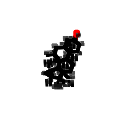 CC[C@]1(C#N)[C@H]2C[C@H]2[C@H]2[C@H]3[C@H](CC[C@@]21C)[C@H]1CCC(=O)C=C1C[C@@H]3C